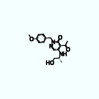 COc1ccc(Cn2ncc(N[C@H](C)CO)c(C(C)=O)c2=O)cc1